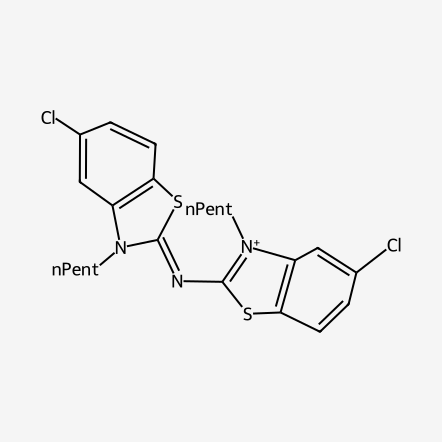 CCCCCn1/c(=N/c2sc3ccc(Cl)cc3[n+]2CCCCC)sc2ccc(Cl)cc21